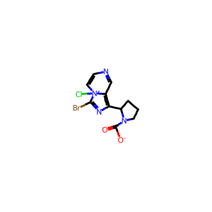 O=C([O-])N1CCCC1C1=C2C=NC=C[N+]2(Cl)C(Br)=N1